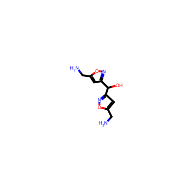 NCc1cc(C(O)c2cc(CN)on2)no1